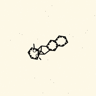 COC1(OC)C2c3ccccc3C1c1cc3ccccc3cc12